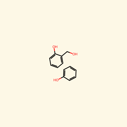 OCc1ccccc1O.Oc1ccccc1